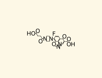 CN1COc2c(N3CCN(C(=O)CCC(=O)O)CC3)c(F)cc3c(=O)c(C(=O)O)cn1c23